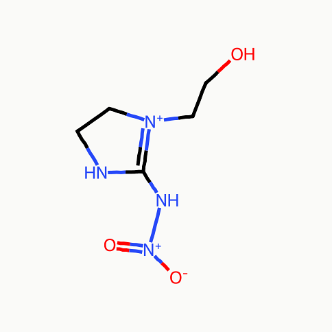 O=[N+]([O-])NC1=[N+](CCO)CCN1